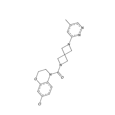 Cc1cnnc(N2CC3(CN(C(=O)N4CCOc5cc(Cl)ccc54)C3)C2)c1